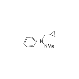 CNN(CC1CC1)c1ccccc1